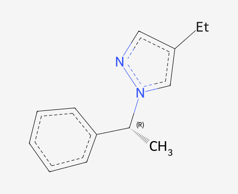 CCc1cnn([C@H](C)c2ccccc2)c1